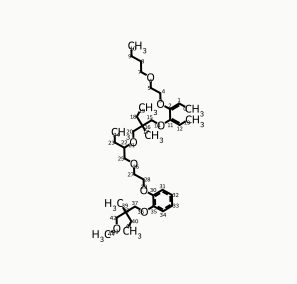 C/C=C(OCCOCCCC)\C(=C/C)OCC(C)(CC)COC(CC)COCCOc1ccccc1OCC(C)(CC)COC